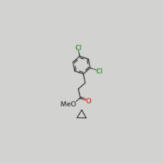 C1CC1.COC(=O)CCc1ccc(Cl)cc1Cl